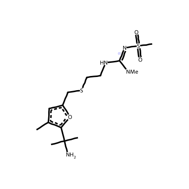 CN/C(=N\S(C)(=O)=O)NCCSCc1cc(C)c(C(C)(C)N)o1